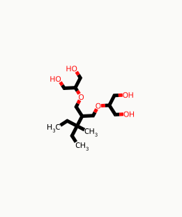 CCC(C)(CC)C(COC(CO)CO)COC(CO)CO